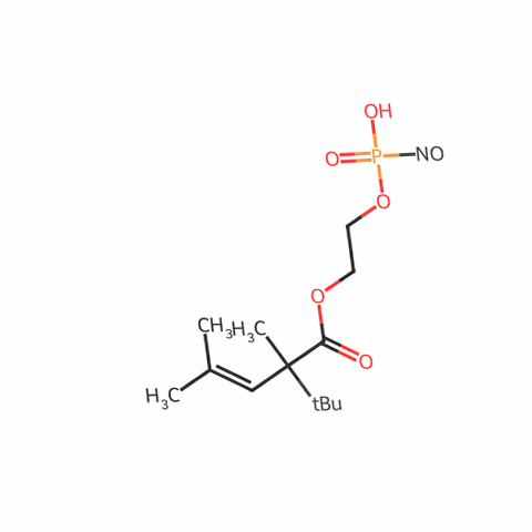 CC(C)=CC(C)(C(=O)OCCOP(=O)(O)N=O)C(C)(C)C